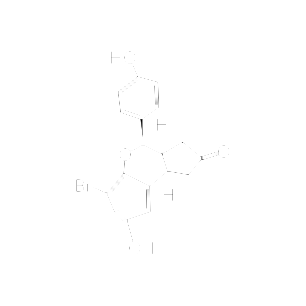 O=C1C[C@H]2[C@@H](C1)c1cc(O)cc(Br)c1O[C@H]2c1ccc(O)cc1